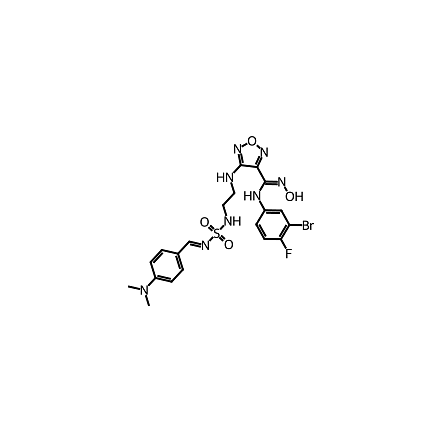 CN(C)c1ccc(/C=N/S(=O)(=O)NCCNc2nonc2/C(=N/O)Nc2ccc(F)c(Br)c2)cc1